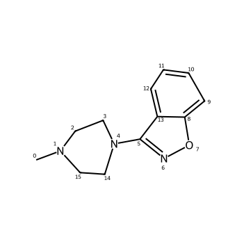 CN1CCN(c2noc3ccccc23)CC1